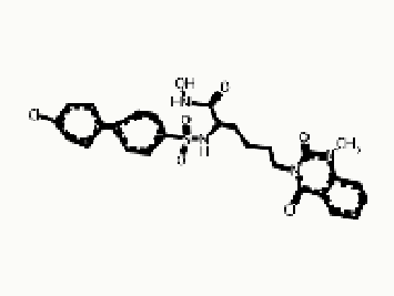 Cn1c(=O)n(CCCCC(NS(=O)(=O)c2ccc(-c3ccc(Cl)cc3)cc2)C(=O)NO)c(=O)c2ccccc21